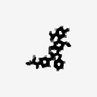 COc1cn([C@@H](Cc2ccccc2)C(=O)Nc2ccc(NC(=O)O)cc2)c(=O)cc1-c1cc(Cl)ccc1C(C)=O